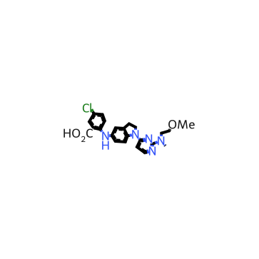 COCCN(C)c1nccc(N2CCc3cc(Nc4ccc(Cl)cc4C(=O)O)ccc32)n1